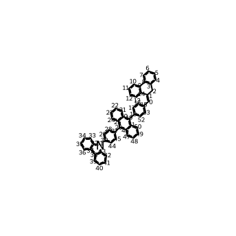 C(=C1\Cc2ccccc2-c2ccccc21)/c1ccc(-c2c3ccccc3c(-c3ccc(-n4c5ccccc5c5ccccc54)cc3)c3ccccc23)cc1